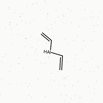 C=[CH][AlH][CH]=C